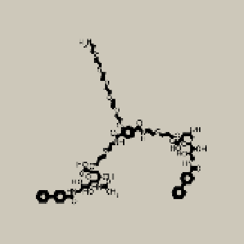 CC(=O)N[C@H]1[C@H]([C@H](O)[C@H](O)CNC(=O)c2ccc(-c3ccccc3)cc2)O[C@@](OCCCSCCNC(=O)c2ccc(C(=O)NCCSCCCO[C@]3(C(=O)O)C[C@H](O)C[C@H]([C@H](O)[C@H](O)CNC(=O)c4ccc(-c5ccccc5)cc4)O3)cc2OCCOCCOCCOCCOCCOCCN)(C(=O)O)C[C@@H]1O